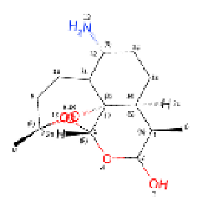 C[C@H]1C(O)O[C@@H]2O[C@@]3(C)CCC4[C@H](N)CC[C@@H]1[C@]42OO3